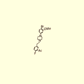 COc1cc(N2CCN(CCc3ccc(F)c(C(C)=O)c3)CC2)ccc1Br